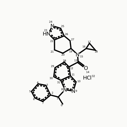 CC(c1ccccc1)n1ncc2c(C(=O)N(C3CC3)C3CCc4[nH]ncc4C3)cccc21.Cl